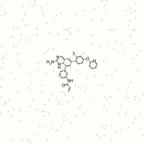 C=CC(=O)Nc1cccc(C2=CC(c3ccc(Oc4ccccn4)cc3F)=CC3=CN=C(N)NC32)c1